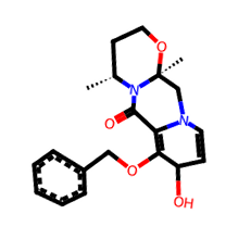 C[C@@H]1CCO[C@@]2(C)CN3C=CC(O)C(OCc4ccccc4)=C3C(=O)N12